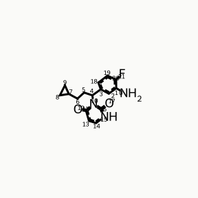 Nc1cc(C(CCC2CC2)n2c(=O)cc[nH]c2=O)ccc1F